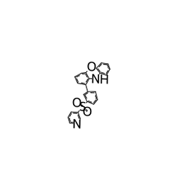 O=S(=O)(c1cccnc1)c1cccc(-c2cccc3c2Nc2ccccc2O3)c1